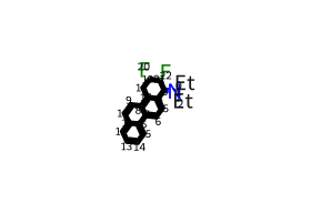 CCN(CC)C1c2ccc3c(ccc4ccccc43)c2CC(F)C1F